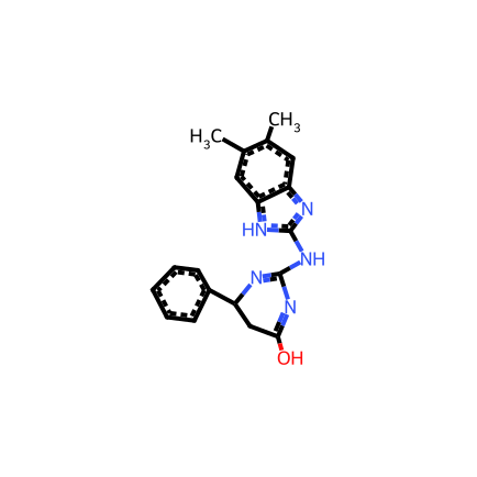 Cc1cc2nc(NC3=NC(c4ccccc4)CC(O)=N3)[nH]c2cc1C